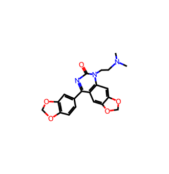 CN(C)CCn1c(=O)nc(-c2ccc3c(c2)OCO3)c2cc3c(cc21)OCO3